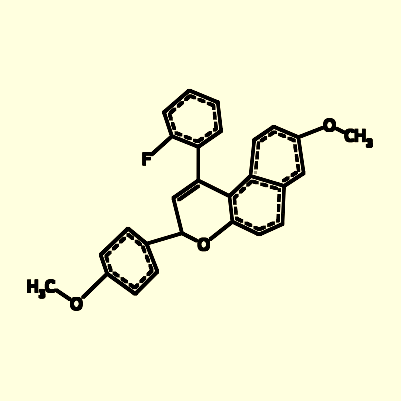 COc1ccc(C2C=C(c3ccccc3F)c3c(ccc4cc(OC)ccc34)O2)cc1